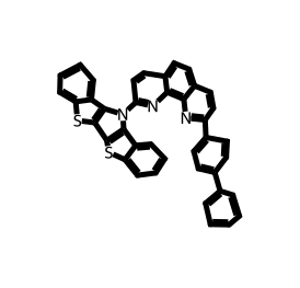 c1ccc(-c2ccc(-c3ccc4ccc5ccc(-n6c7c8ccccc8sc7c7sc8ccccc8c76)nc5c4n3)cc2)cc1